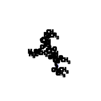 COC(=O)N[C@@H](CC/C=C/C(=O)N(C)C)C(=O)Nc1cccn(Cc2nc3c(C(F)(F)C(C)C)cccc3n2COCC[Si](C)(C)C)c1=O